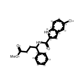 COC(=O)CCC(NC(=O)c1cc2cc(Cl)ccc2[nH]1)c1ccccc1